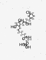 CC(CON(O)O)NC(=O)CCC/C=C\C[C@@H]1[C@@H](/C=C/[C@@H](O)CCc2cccc(Cl)c2)[C@H](O)C[C@@H]1O